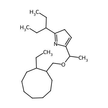 CCC(CC)C1=NC(C(C)OCC2CCCCCCCC2CC)=CC1